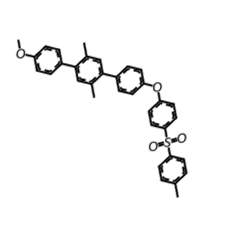 COc1ccc(-c2cc(C)c(-c3ccc(Oc4ccc(S(=O)(=O)c5ccc(C)cc5)cc4)cc3)cc2C)cc1